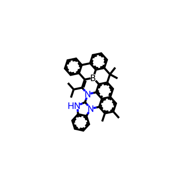 Cc1cc2cc3c4c5c2c(c1C)N1c2ccccc2NC1N5C(C(C)C)=C1B4c2c(cccc2C3(C)C)-c2ccccc21